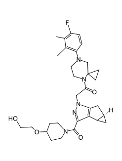 Cc1c(F)ccc(N2CCN(C(=O)Cn3nc(C(=O)N4CCC(OCCO)CC4)c4c3C[C@H]3CC43)C3(CC3)C2)c1C